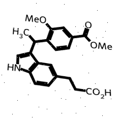 COC(=O)c1ccc(C(C)c2c[nH]c3ccc(CCC(=O)O)cc23)c(OC)c1